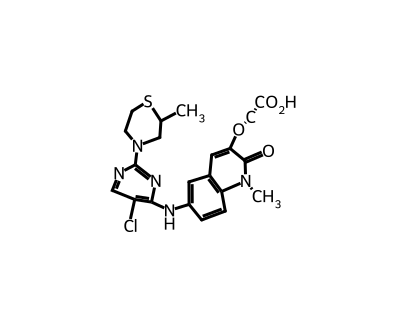 CC1CN(c2ncc(Cl)c(Nc3ccc4c(c3)cc(OCC(=O)O)c(=O)n4C)n2)CCS1